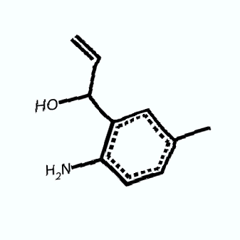 C=CC(O)c1cc(C)ccc1N